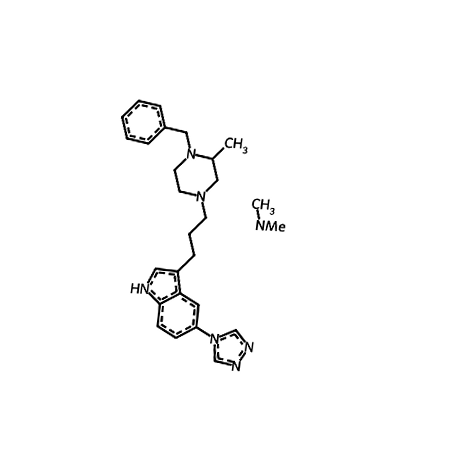 CC1CN(CCCc2c[nH]c3ccc(-n4cnnc4)cc23)CCN1Cc1ccccc1.CNC